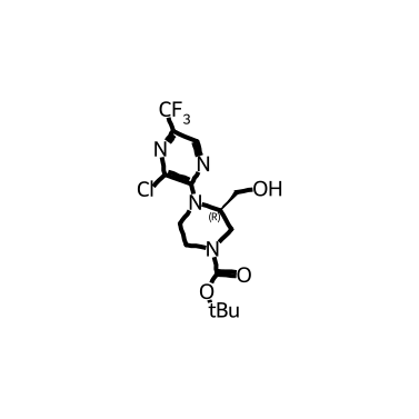 CC(C)(C)OC(=O)N1CCN(c2ncc(C(F)(F)F)nc2Cl)[C@@H](CO)C1